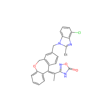 CCc1nc2c(Cl)cccc2n1Cc1ccc2c(c1)COc1ccccc1C2=C(C)c1noc(=O)[nH]1